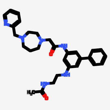 CC(=O)NCCNc1cc(NC(=O)CN2CCCN(Cc3ccccn3)CC2)cc(-c2ccccc2)c1